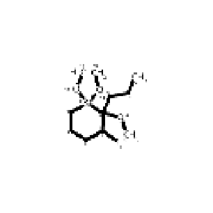 CCCC1(OC)C(I)CCC[Si]1(OC)OC